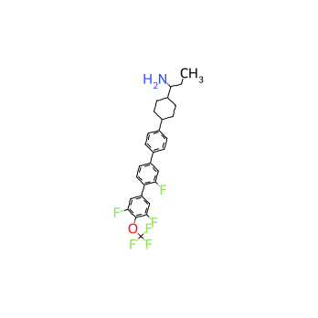 CCC(N)C1CCC(c2ccc(-c3ccc(-c4cc(F)c(OC(F)(F)F)c(F)c4)c(F)c3)cc2)CC1